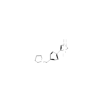 C1=C(c2ccc(CN3CCCC3)cc2)NCN1